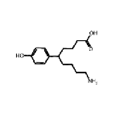 NCCCC[C](CCCC(=O)O)c1ccc(O)cc1